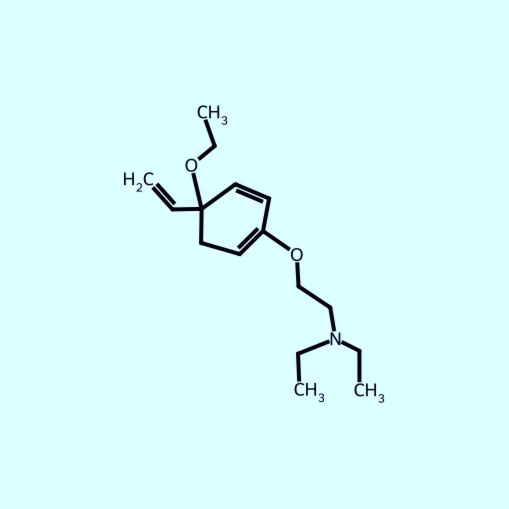 C=CC1(OCC)C=CC(OCCN(CC)CC)=CC1